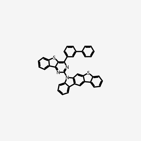 c1ccc(-c2cccc(-c3nc(-n4c5ccccc5c5cc6c(cc54)sc4ccccc46)nc4c3sc3ccccc34)c2)cc1